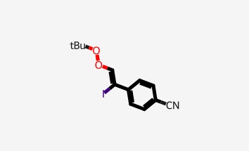 CC(C)(C)OOC=C(I)c1ccc(C#N)cc1